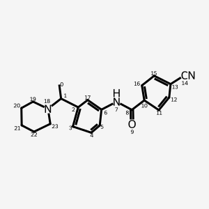 CC(c1cccc(NC(=O)c2ccc(C#N)cc2)c1)N1CCCCC1